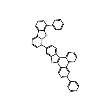 c1ccc(-c2ccc3c(c2)c2ccccc2c2c4ccc(-c5cccc6c5oc5c(-c7ccccc7)cccc56)cc4oc32)cc1